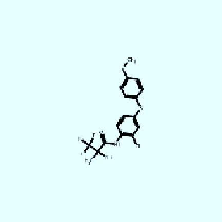 CSc1ccc(Sc2ccc(NC(=O)C(C)(O)C(F)(F)F)c(Cl)c2)cc1